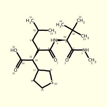 CNC(=O)[C@@H](NC(=O)C(CC(C)C)[C@H](C(=O)O)C1CCSC1)C(C)(C)C